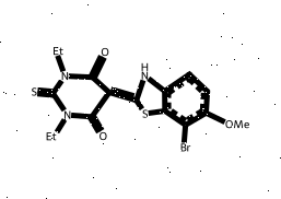 CCN1C(=O)C(=C2Nc3ccc(OC)c(Br)c3S2)C(=O)N(CC)C1=S